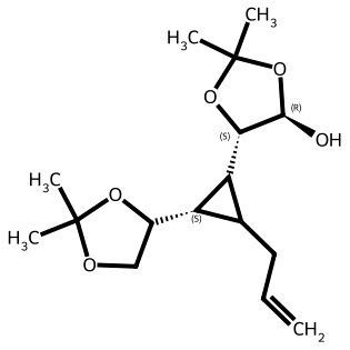 C=CCC1C([C@@H]2OC(C)(C)O[C@H]2O)[C@H]1C1COC(C)(C)O1